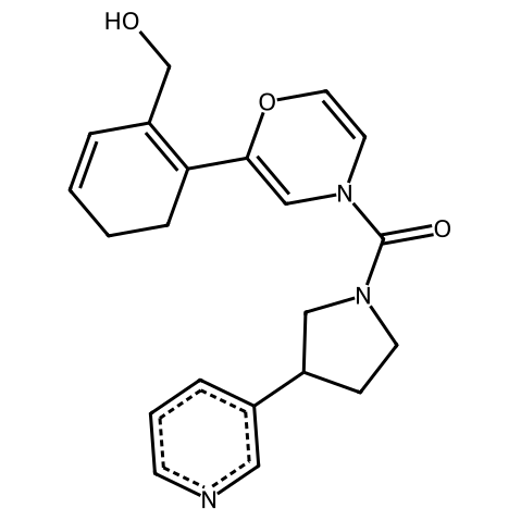 O=C(N1C=COC(C2=C(CO)C=CCC2)=C1)N1CCC(c2cccnc2)C1